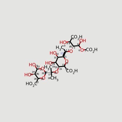 C/C(O[C@@H](C(O)OC(=O)O)C(O)C(=O)O)=C1/OC(C(=O)O)[C@@H](OC(C)(C)[C@H]2OC(O)[C@H](O)C(C(=O)O)O2)C(O)C1O